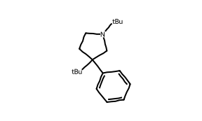 CC(C)(C)N1CCC(c2ccccc2)(C(C)(C)C)C1